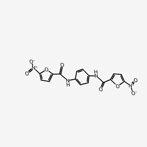 O=C(Nc1ccc(NC(=O)c2ccc([N+](=O)[O-])o2)cc1)c1ccc([N+](=O)[O-])o1